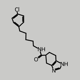 O=C(NCCCCCc1ccc(Cl)cc1)C1CCc2[nH]cnc2C1